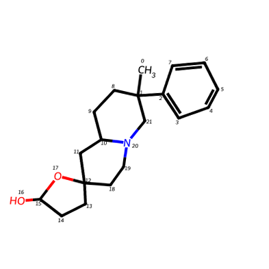 CC1(c2ccccc2)CCC2CC3(CCC(O)O3)CCN2C1